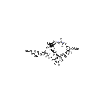 COc1cc2cc(c1Cl)N(C)C(=O)C[C@H](OC(=O)[C@H](C)N(C)C(=O)CCC[Si](C)(C)O[Si](C)(C)CSc1ncc(CN=[N+]=[N-])cn1)[C@@]1(C)CC(C)(O1)[C@@H]1C[C@@](O)(NC(=O)O1)[C@H](OC)/C=C/C(C)=C(\C)C2